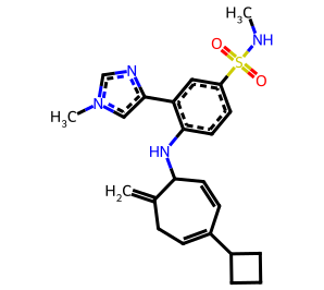 C=C1CC=C(C2CCC2)C=CC1Nc1ccc(S(=O)(=O)NC)cc1-c1cn(C)cn1